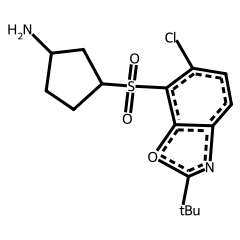 CC(C)(C)c1nc2ccc(Cl)c(S(=O)(=O)C3CCC(N)C3)c2o1